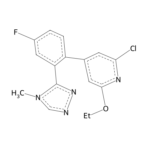 CCOc1cc(-c2ccc(F)cc2-c2nncn2C)cc(Cl)n1